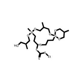 CCSC(=S)SCCC[Si](C)(OCC(C)CO)OCC(C)CO[Si]1(CCCS)OCC(C)CO1